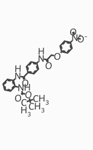 CC(C)(C)OC(=O)Nc1ccccc1NC(=O)c1ccc(NC(=O)COc2ccc([N+](=O)[O-])cc2)cc1